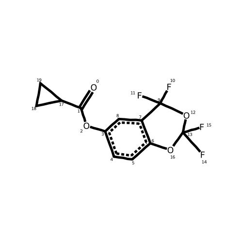 O=C(Oc1ccc2c(c1)C(F)(F)OC(F)(F)O2)C1CC1